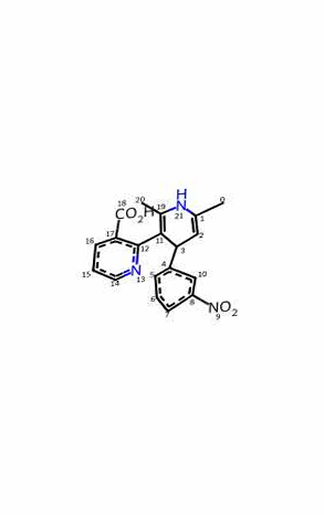 CC1=CC(c2cccc([N+](=O)[O-])c2)C(c2ncccc2C(=O)O)=C(C)N1